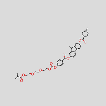 C=C(C)C(=O)OCCOCCOCCOC(=O)Oc1ccc(C(=O)Oc2ccc3c(c2)C(C)c2cc(OC(=O)c4ccc(C)cc4)ccc2-3)cc1